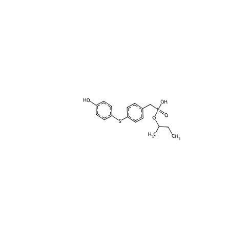 CCC(C)OP(=O)(O)Cc1ccc(Sc2ccc(O)cc2)cc1